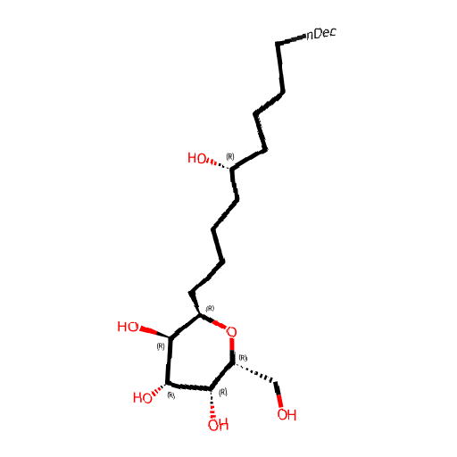 CCCCCCCCCCCCCC[C@@H](O)CCCC[C@H]1O[C@H](CO)[C@H](O)[C@H](O)[C@H]1O